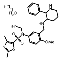 COc1ccc(N(CC(C)C)S(=O)(=O)c2sc(C)nc2C)cc1CNC1CCCNC1c1ccccc1.Cl.Cl.O